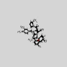 CC[C@@H]1CN(C(=O)[C@@H]2CC[C@@H](C)N2C(=O)C2=C(C(C)C)N3C(=N[C@@](C)(c4ccc(Cl)cc4)[C@H]3c3ccc(Cl)cc3)S2)CCN1C